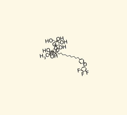 C[C@@H](O)[C@@H](O)[C@H](CO[C@H]1OC(CO)[C@H](O)C(O)C1O)NC(=O)CCCCCCCCCCc1ccc(Oc2cc(F)c(F)c(F)c2)cc1